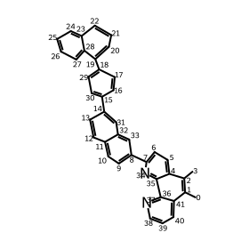 Cc1c(C)c2ccc(-c3ccc4ccc(-c5ccc(-c6cccc7ccccc67)cc5)cc4c3)nc2c2ncccc12